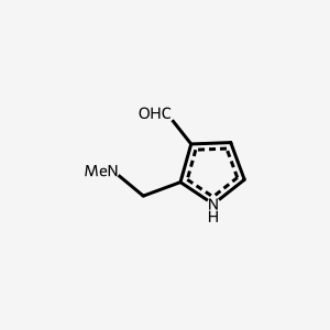 CNCc1[nH]ccc1C=O